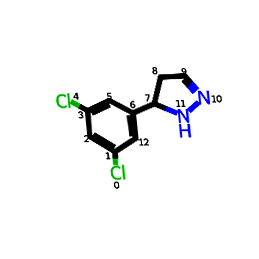 Clc1cc(Cl)cc(C2CC=NN2)c1